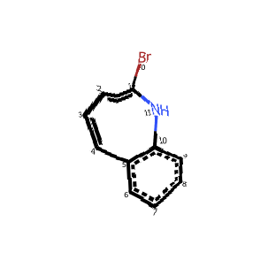 BrC1=CC=Cc2ccccc2N1